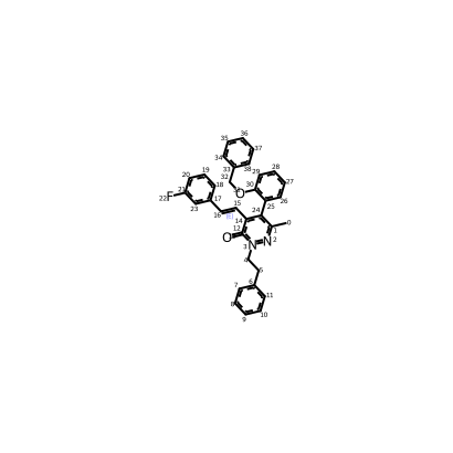 Cc1nn(CCc2ccccc2)c(=O)c(/C=C/c2cccc(F)c2)c1-c1ccccc1OCc1ccccc1